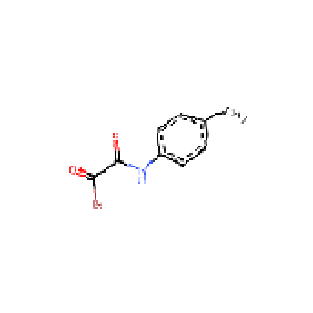 [CH2]c1ccc(NC(=O)C(=O)Br)cc1